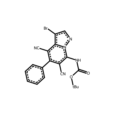 CC(C)(C)OC(=O)Nc1c(C#N)c(-c2ccccc2)c(C#N)c2c(Br)cnn12